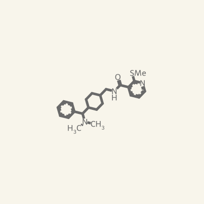 CSc1ncccc1C(=O)NCC1CCC(C(c2ccccc2)N(C)C)CC1